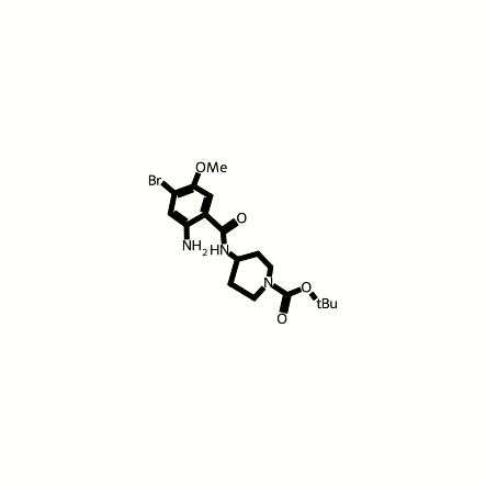 COc1cc(C(=O)NC2CCN(C(=O)OC(C)(C)C)CC2)c(N)cc1Br